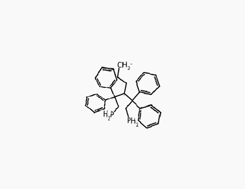 [CH2]CC[C](C(CP)(c1ccccc1)c1ccccc1)C(CP)(c1ccccc1)c1ccccc1